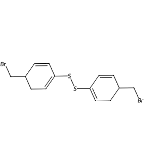 BrCC1C=CC(SSC2=CCC(CBr)C=C2)=CC1